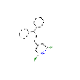 Fc1cc(CCC(C2CCCCC2)C2CCCCC2)cc(F)n1